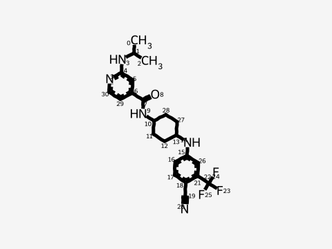 CC(C)Nc1cc(C(=O)NC2CCC(Nc3ccc(C#N)c(C(F)(F)F)c3)CC2)ccn1